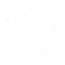 COCc1nc2c(-c3ccc(OCC(C)(N)CC(C)C)c(C(F)(F)F)c3)ccnc2[nH]1